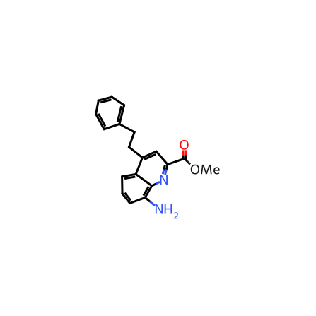 COC(=O)c1cc(CCc2ccccc2)c2cccc(N)c2n1